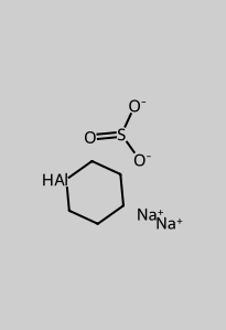 C1C[CH2][AlH][CH2]C1.O=S([O-])[O-].[Na+].[Na+]